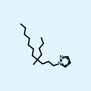 CCCCCCCC(C)(CCCC)CCCn1cccn1